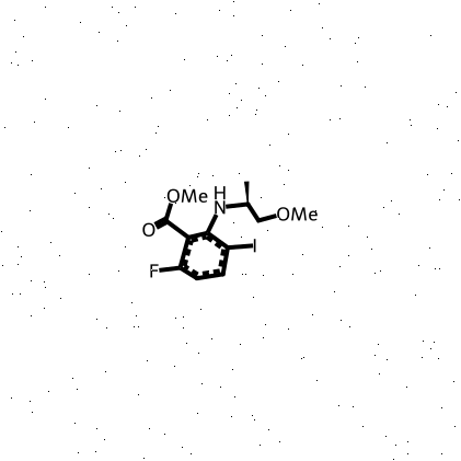 COC[C@H](C)Nc1c(I)ccc(F)c1C(=O)OC